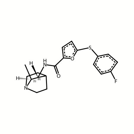 C[C@H]1[C@H](NC(=O)c2ccc(Sc3ccc(F)cc3)o2)C2CCN1CC2